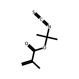 C=C(C)C(=O)OC(C)(C)N=C=S